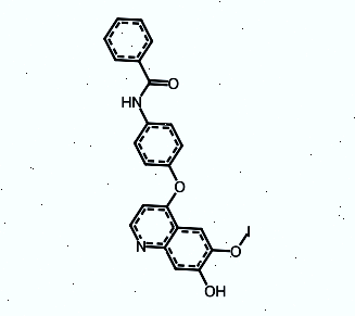 O=C(Nc1ccc(Oc2ccnc3cc(O)c(OI)cc23)cc1)c1ccccc1